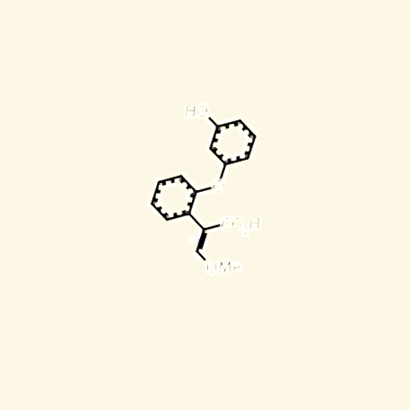 CO/C=C(\C(=O)O)c1ccccc1Oc1cccc(O)c1